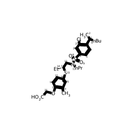 CCCCC(C)c1ccc(S(=O)(=O)N(CCC)C[C@@H](CC)Sc2ccc(OCC(=O)O)c(C)c2)cc1Cl